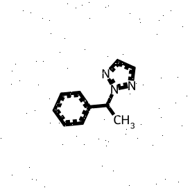 C[C](c1ccccc1)n1nccn1